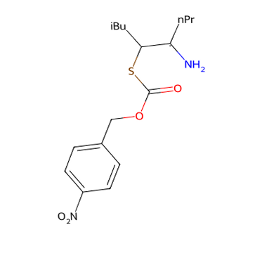 CCC[C](N)C(SC(=O)OCc1ccc([N+](=O)[O-])cc1)C(C)CC